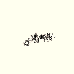 Nc1nccc2cc(CNC(=O)[C@@H]3CCN3C(=O)C(N)CCc3ccccc3)ccc12